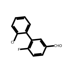 O=Cc1ccc(F)c(-c2ccccc2Cl)c1